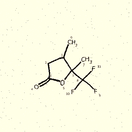 CC1CC(=O)OC1(C)C(F)(F)F